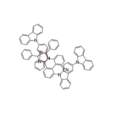 N#Cc1cccc(-n2c3ccccc3c3cc(-n4c5ccccc5c5ccccc54)ccc32)c1-c1c(-c2nc(-c3ccccc3)nc(-c3ccccc3)n2)cccc1-n1c2ccccc2c2cc(-n3c4ccccc4c4ccccc43)ccc21